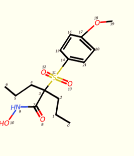 CCCC(CCC)(C(=O)NO)S(=O)(=O)c1ccc(OC)cc1